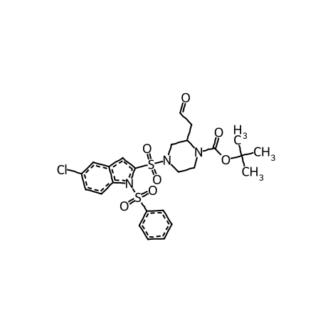 CC(C)(C)OC(=O)N1CCN(S(=O)(=O)c2cc3cc(Cl)ccc3n2S(=O)(=O)c2ccccc2)CC1CC=O